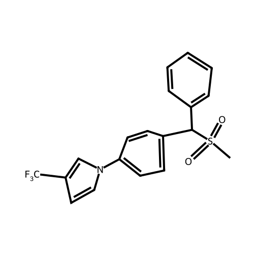 CS(=O)(=O)C(c1ccccc1)c1ccc(-n2ccc(C(F)(F)F)c2)cc1